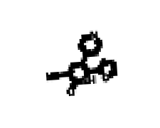 N#Cc1cc(-c2ccncc2)c(-c2ccco2)[nH]c1=O